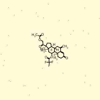 C=C1C[C@H]2[C@@H]3CC[C@](O)(C(=O)COC(C)=O)[C@@]3(C)CC(OC(=O)C(F)(F)F)[C@]2(F)[C@@]2(C)CCC(=O)C=C12